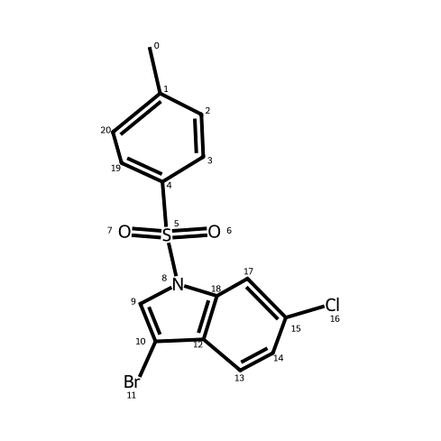 Cc1ccc(S(=O)(=O)n2cc(Br)c3ccc(Cl)cc32)cc1